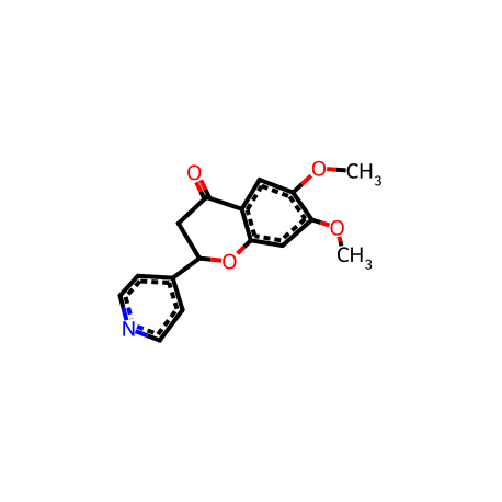 COc1cc2c(cc1OC)C(=O)CC(c1ccncc1)O2